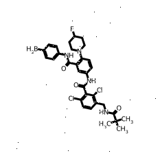 Bc1ccc(NC(=O)c2cc(NC(=O)c3c(Cl)ccc(CNC(=O)C(C)(C)C)c3Cl)ccc2N2CCC(F)CC2)cc1